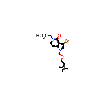 C[Si](C)(C)CCOCn1cc(Br)c2c(=O)n(CC(=O)O)ccc21